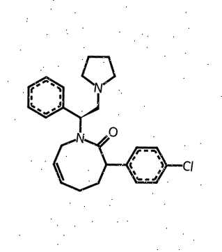 O=C1C(c2ccc(Cl)cc2)CCC=CCN1[C@H](CN1CCCC1)c1ccccc1